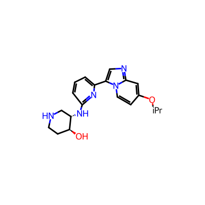 CC(C)Oc1ccn2c(-c3cccc(N[C@H]4CNCC[C@@H]4O)n3)cnc2c1